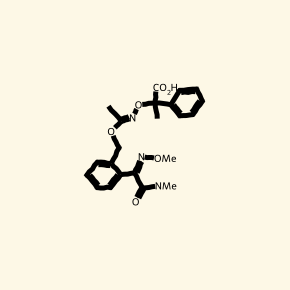 CNC(=O)C(=NOC)c1ccccc1COC(C)=NOC(C)(C(=O)O)c1ccccc1